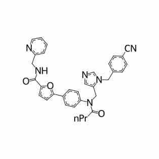 CCCC(=O)N(Cc1cncn1Cc1ccc(C#N)cc1)c1ccc(-c2ccc(C(=O)NCc3ccccn3)o2)cc1